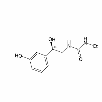 CCNC(=O)NC[C@H](O)c1cccc(O)c1